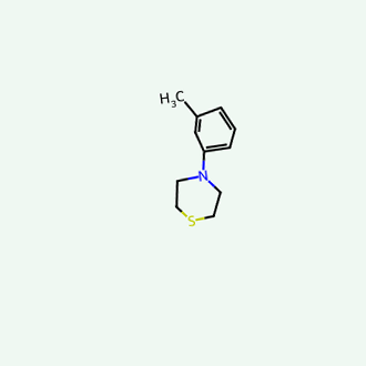 Cc1cccc(N2CCSCC2)c1